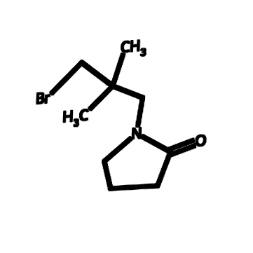 CC(C)(CBr)CN1CCCC1=O